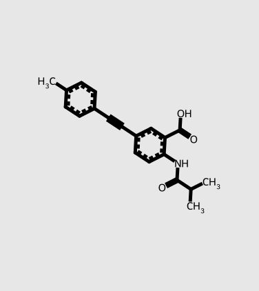 Cc1ccc(C#Cc2ccc(NC(=O)C(C)C)c(C(=O)O)c2)cc1